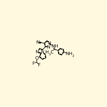 C[C@H](Nc1ncc(C#N)c(-c2cnc3c(OC(F)F)cccn23)n1)c1ccc(N)cc1